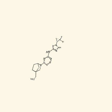 OCC12CCC(C1)N(c1nccc(Nc3cc(C4CC4(F)F)[nH]n3)n1)C2